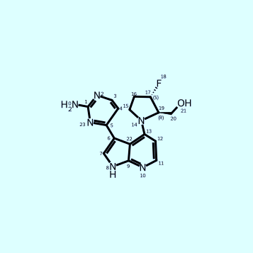 Nc1nccc(-c2c[nH]c3nccc(N4CC[C@H](F)[C@H]4CO)c23)n1